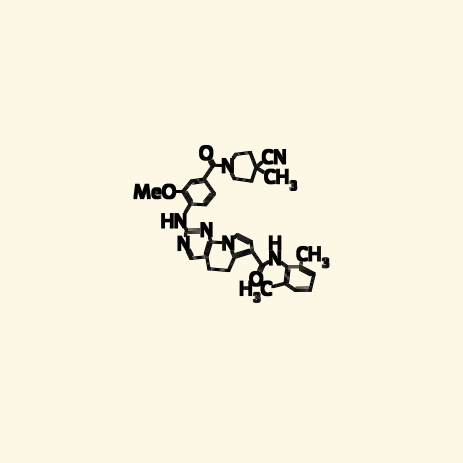 COc1cc(C(=O)N2CCC(C)(C#N)CC2)ccc1Nc1ncc2c(n1)-n1ccc(C(=O)Nc3c(C)cccc3C)c1CC2